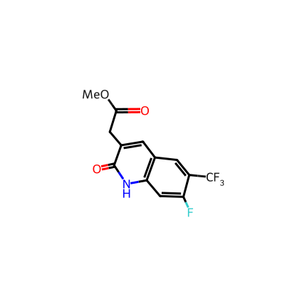 COC(=O)Cc1cc2cc(C(F)(F)F)c(F)cc2[nH]c1=O